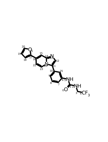 O=C(NCC(F)(F)F)Nc1cccc(-c2cnc3cc(-c4ccco4)ccn23)c1